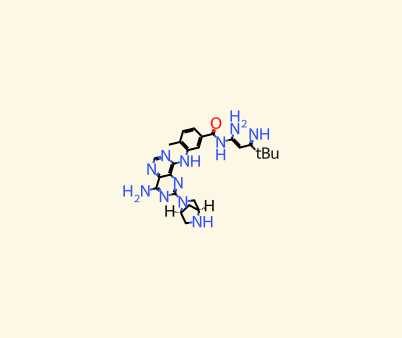 Cc1ccc(C(=O)N/C(N)=C/C(=N)C(C)(C)C)cc1Nc1ncnc2c(N)nc(N3C[C@@H]4C[C@H]3CN4)nc12